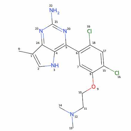 Cc1c[nH]c2c(-c3cc(OCCN(C)C)c(Cl)cc3Cl)nc(N)nc12